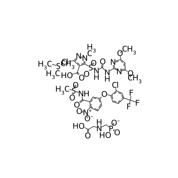 COc1cc(OC)nc(NC(=O)NS(=O)(=O)c2c(C(=O)O)c(Cl)nn2C)n1.CS(=O)(=O)NC(=O)c1cc(Oc2ccc(C(F)(F)F)cc2Cl)ccc1[N+](=O)[O-].C[S+](C)C.O=C(O)CNCP(=O)([O-])O